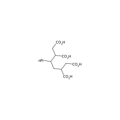 CCCC(CC(CC(=O)O)C(=O)O)C(CC(=O)O)C(=O)O